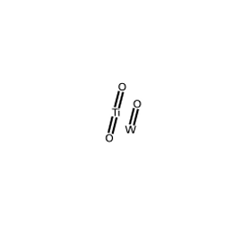 [O]=[Ti]=[O].[O]=[W]